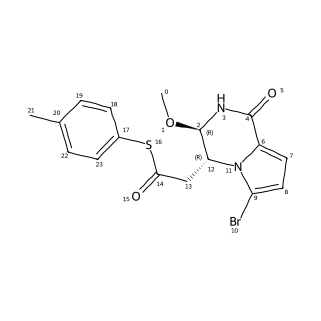 CO[C@H]1NC(=O)c2ccc(Br)n2[C@@H]1CC(=O)Sc1ccc(C)cc1